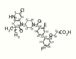 CC1(C)CC2=C(C=C(Cl)CN2)N(C2CCN(C(=O)c3ccc(-c4cc(F)ccc4OCCC(=O)O)cc3F)CC2)C1=O